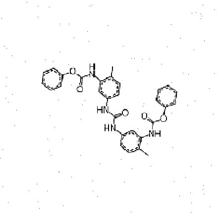 Cc1ccc(NC(=O)Nc2ccc(C)c(NC(=O)Oc3ccccc3)c2)cc1NC(=O)Oc1ccccc1